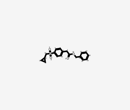 O=C(Cc1ccc(S(=O)(=O)CC2CC2)cc1)OCc1ccccc1